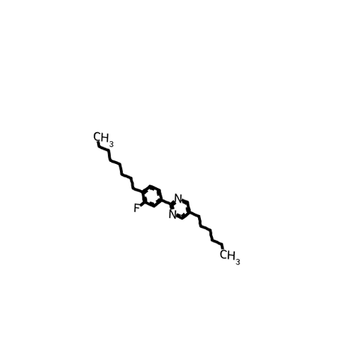 CCCCCCCCc1ccc(-c2ncc(CCCCCC)cn2)cc1F